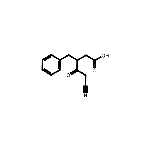 N#CCC(=O)C(CC(=O)O)Cc1ccccc1